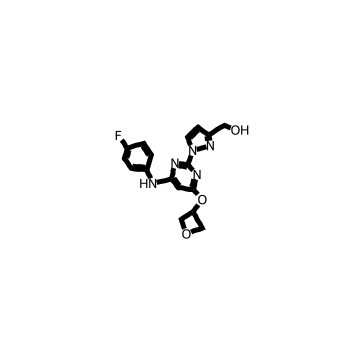 OCc1ccn(-c2nc(Nc3ccc(F)cc3)cc(OC3COC3)n2)n1